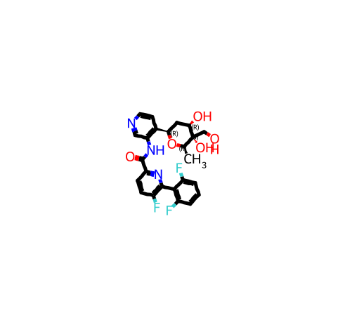 C[C@H]1O[C@@H](c2ccncc2NC(=O)c2ccc(F)c(-c3c(F)cccc3F)n2)C[C@@H](O)[C@@]1(O)CO